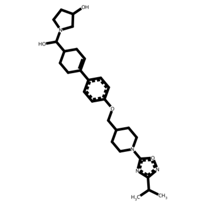 CC(C)c1noc(N2CCC(COc3ccc(C4=CCC(C(O)N5CCC(O)C5)CC4)cc3)CC2)n1